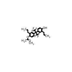 C=CCc1cc(C(c2ccc(OC(C)OC)c(CC=C)c2)(C(F)(F)F)C(F)(F)F)ccc1O